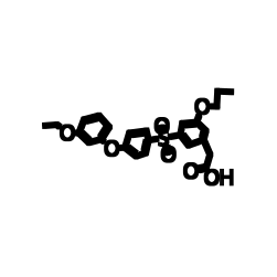 CCCOc1cc(CC(=O)O)cc(S(=O)(=O)c2ccc(Oc3cccc(OCC)c3)cc2)c1